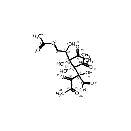 CC(=O)OC[C@@H](O)[C@@](O)(C(C)=O)[C@@](O)(C(C)=O)[C@](O)(C(C)=O)C(=O)C(C)=O